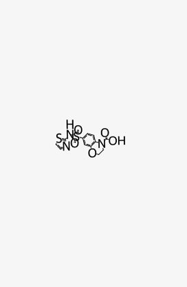 O=C(O)N1CCOc2cc(S(=O)(=O)Nc3nccs3)ccc21